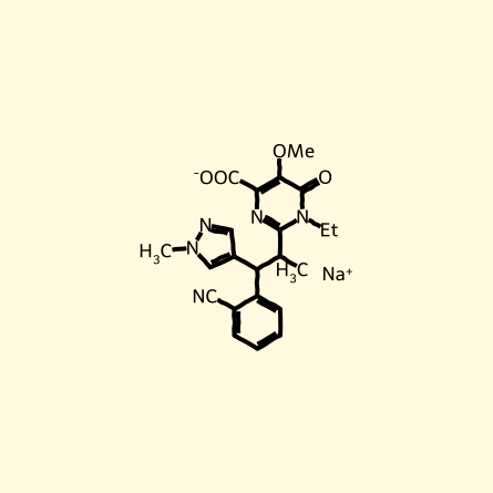 CCn1c(C(C)C(c2cnn(C)c2)c2ccccc2C#N)nc(C(=O)[O-])c(OC)c1=O.[Na+]